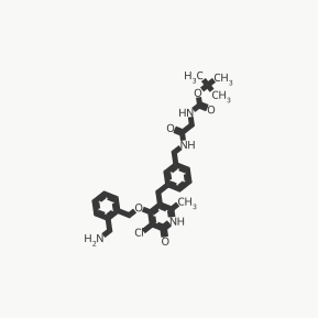 Cc1[nH]c(=O)c(Cl)c(OCc2ccccc2CN)c1Cc1cccc(CNC(=O)CNC(=O)OC(C)(C)C)c1